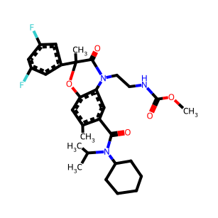 COC(=O)NCCN1C(=O)C(C)(c2cc(F)cc(F)c2)Oc2cc(C)c(C(=O)N(C(C)C)C3CCCCC3)cc21